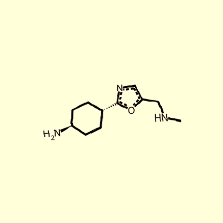 CNCc1cnc([C@H]2CC[C@H](N)CC2)o1